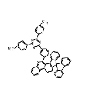 Cc1ccc(-c2nc(-c3ccc(C)cc3)nc(-c3cccc(-c4nc5ccccc5c5ccc6c(c45)-c4ccccc4C64c5ccccc5-c5ccccc54)c3)n2)cc1